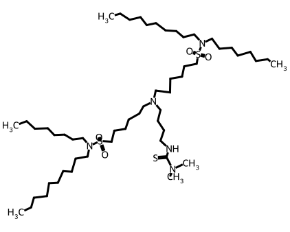 CCCCCCCCCCN(CCCCCCCC)S(=O)(=O)CCCCCCN(CCCCCCS(=O)(=O)N(CCCCCCCC)CCCCCCCCCC)CCCCNC(=S)N(C)C